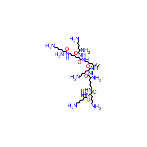 CC(=O)C(CCCCNC(=O)C(CCCCNC(=O)C(N)CCCCN)NC(=O)C(N)CCCCN)NC(=O)C(CCCCN)NC(=O)C(N)CCCCNC(=O)C(CCCCN)NC(=O)C(N)CCCCN